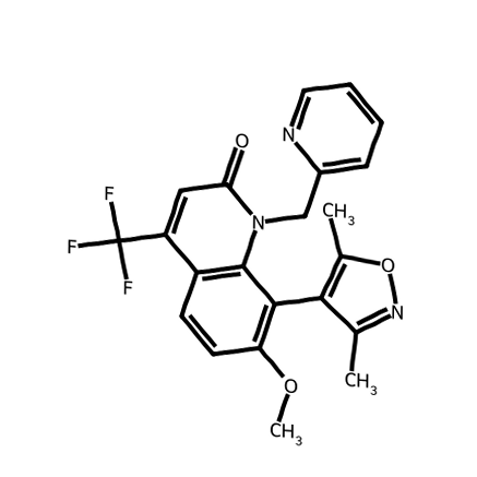 COc1ccc2c(C(F)(F)F)cc(=O)n(Cc3ccccn3)c2c1-c1c(C)noc1C